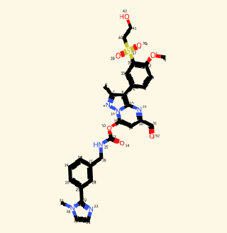 COc1ccc(-c2c(C)nn3c(OC(=O)NCc4cccc(-c5nccn5C)c4)cc(C=O)nc23)cc1S(=O)(=O)CCO